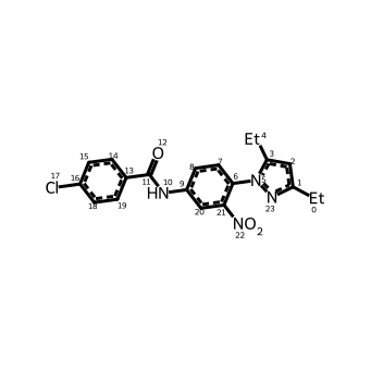 CCc1cc(CC)n(-c2ccc(NC(=O)c3ccc(Cl)cc3)cc2[N+](=O)[O-])n1